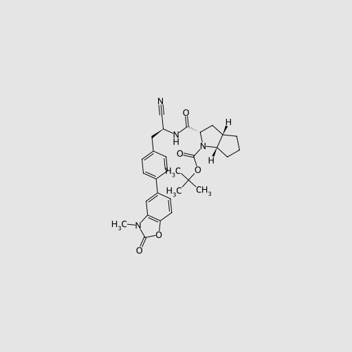 Cn1c(=O)oc2ccc(-c3ccc(C[C@@H](C#N)NC(=O)[C@@H]4C[C@@H]5CCC[C@@H]5N4C(=O)OC(C)(C)C)cc3)cc21